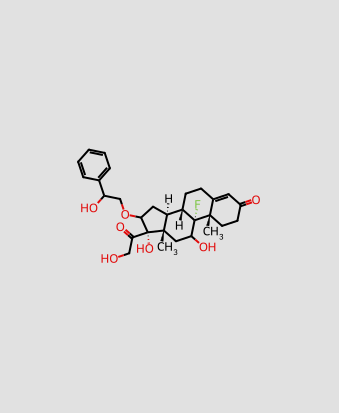 C[C@]12CCC(=O)C=C1CC[C@H]1[C@@H]3CC(OCC(O)c4ccccc4)[C@](O)(C(=O)CO)[C@@]3(C)CC(O)[C@@]12F